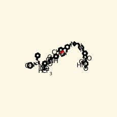 C[C@@]1(CN2CC(CN3CCN(c4ccc5c(c4)CN(C4CCC(=O)NC4=O)C5=O)CC3)C2)CCC(c2ccc(Cl)cc2)=C(CN2CCN(c3ccc(C(=O)NS(=O)(=O)c4ccc(N[C@H](CCN5CCCOCC5)CSc5ccccc5)c(S(=O)(=O)C(F)(F)F)c4)cc3)CC2)C1